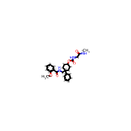 CNC(=O)CNC(=O)OC1CCC(CNC(=O)c2ccccc2OC)(c2ccccc2)CC1